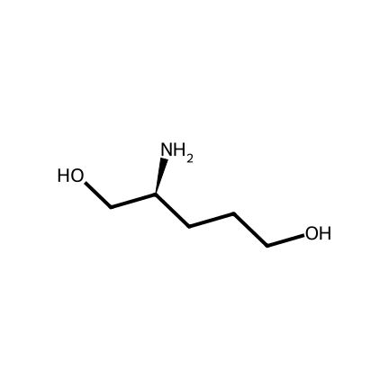 N[C@H](CO)CCCO